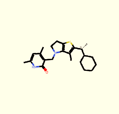 Cc1cc(C)c(CN2CCc3sc([C@H](C)C4CCCCC4)c(C)c32)c(=O)[nH]1